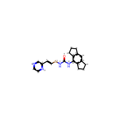 O=C(NS/C=C/c1cnccn1)Nc1c2c(cc3c1CCC3)CCC2